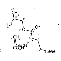 C=CC(=O)O.CSCC[C@H](N)C(=O)OCC(C)O